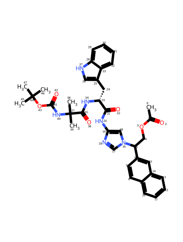 CC(=O)OCC(c1ccc2ccccc2c1)n1cnc(NC(=O)[C@@H](Cc2c[nH]c3ccccc23)NC(=O)C(C)(C)NC(=O)OC(C)(C)C)c1